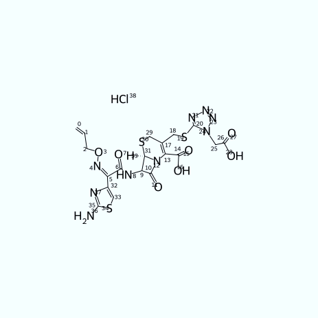 C=CCO/N=C(\C(=O)NC1C(=O)N2C(C(=O)O)=C(CSc3nnnn3CC(=O)O)CS[C@H]12)c1csc(N)n1.Cl